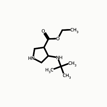 CCOC(=O)C1CNCC1NC(C)(C)C